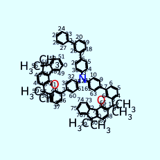 CC1(C)c2cccc(-c3ccc(N(c4ccc(-c5cccc(-c6ccccc6)c5)cc4)c4ccc(-c5cccc6c5Oc5c(ccc7c5-c5ccccc5C7(C)C)C6(C)C)cc4)cc3)c2Oc2c1ccc1c2-c2ccccc2C1(C)C